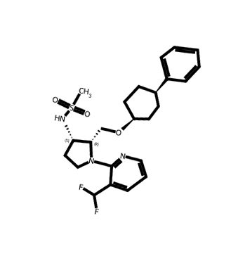 CS(=O)(=O)N[C@H]1CCN(c2ncccc2C(F)F)[C@H]1CO[C@H]1CC[C@@H](c2ccccc2)CC1